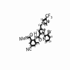 CNC(=O)c1cc(C#N)cc(C)c1NC(=O)c1cc(Cn2cc(C(F)(F)F)nn2)nn1-c1ncccc1Br